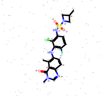 Cc1c(Nc2c(F)ccc(NS(=O)(=O)N3CC(C)C3)c2Cl)ccc2ncn(C)c(=O)c12